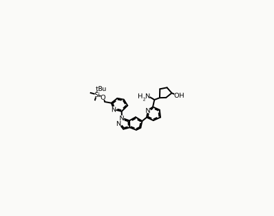 CC(C)(C)[Si](C)(C)OCc1cccc(-n2ncc3ccc(-c4cccc(C(N)C5CCC(O)C5)n4)cc32)n1